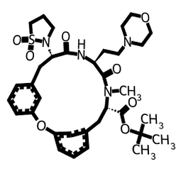 CN1C(=O)[C@H](CCN2CCOCC2)NC(=O)[C@@H](N2CCCS2(=O)=O)Cc2cccc(c2)Oc2cccc(c2)C[C@H]1C(=O)OC(C)(C)C